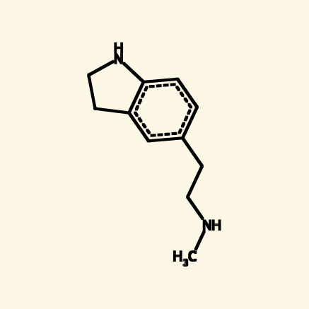 CNCCc1ccc2c(c1)CCN2